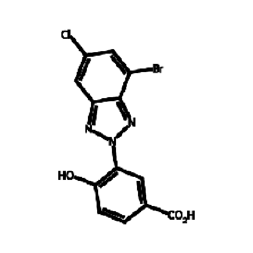 O=C(O)c1ccc(O)c(-n2nc3cc(Cl)cc(Br)c3n2)c1